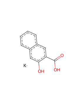 O=C(O)c1cc2ccccc2cc1O.[K]